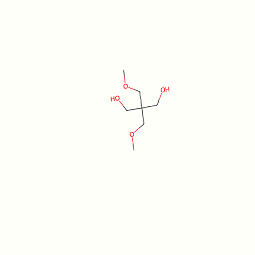 COCC(CO)(CO)COC